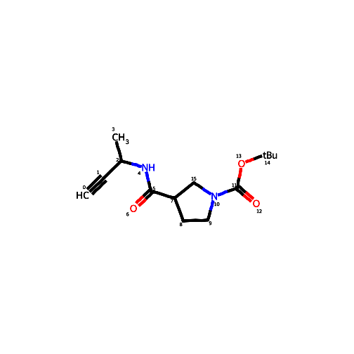 C#CC(C)NC(=O)C1CCN(C(=O)OC(C)(C)C)C1